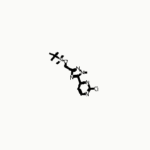 Cn1nc(CO[Si](C)(C)C(C)(C)C)nc1-c1ccnc(Cl)n1